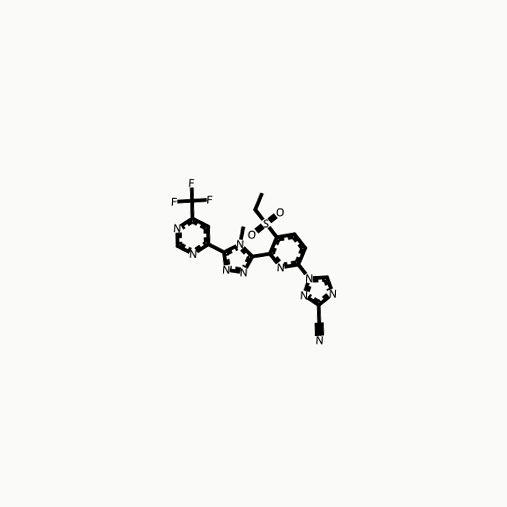 CCS(=O)(=O)c1ccc(-n2cnc(C#N)n2)nc1-c1nnc(-c2cc(C(F)(F)F)ncn2)n1C